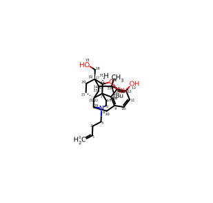 C=CCCN1CCC23c4c5ccc(O)c4OC2[C@@]2(CO)CC[C@@]3(C[C@@H]2C(C)(O)C(C)(C)C)C1C5